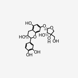 OCC1(O)CO[C@@H](Oc2cc(O)c3c(c2)OC(c2ccc(O)c(O)c2)[C@@H](O)C3)[C@H]1O